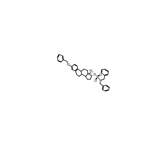 C[C@]12CCC3c4ccc(OCc5ccccc5)cc4CCC3C1CC[C@H]2OS(=O)(=O)N(Cc1ccccc1)Cc1ccccc1